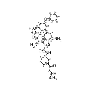 CNCC(=O)N1CCCC(NC(=O)c2sc3c(N)ccc4c3c2C(N)C(=O)C4(N)c2ccc(Oc3ccccc3)cc2C)C1